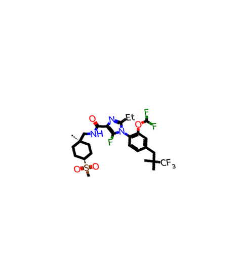 CCc1nc(C(=O)NC[C@]2(C)CC[C@@H](S(C)(=O)=O)CC2)c(F)n1-c1ccc(CC(C)(C)C(F)(F)F)cc1OC(F)F